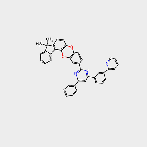 CC1(C)c2ccccc2-c2c1ccc1c2Oc2cc(-c3nc(-c4ccccc4)cc(-c4cccc(-c5ccccn5)c4)n3)ccc2O1